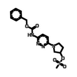 CS(=O)(=O)OC1CCN(c2ccc(NC(=O)OCc3ccccc3)nn2)C1